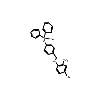 CC(C)(C)[Si](Oc1ccc(CNc2ccc(C#N)cc2[N+](=O)[O-])cc1)(c1ccccc1)c1ccccc1